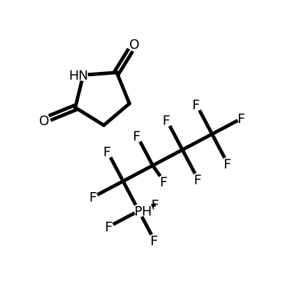 FC(F)(F)C(F)(F)C(F)(F)C(F)(F)[PH](F)(F)F.O=C1CCC(=O)N1